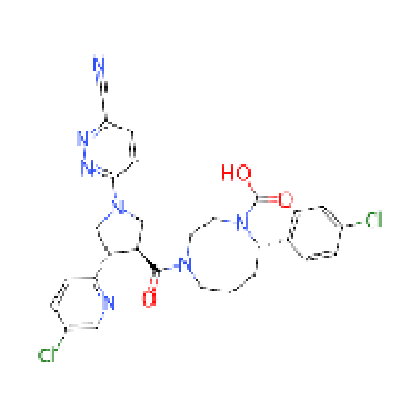 N#Cc1ccc(N2C[C@@H](C(=O)N3CCC[C@@H](c4ccc(Cl)cc4)N(C(=O)O)CC3)[C@H](c3ccc(Cl)cn3)C2)nn1